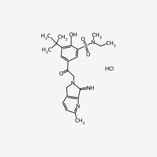 CCN(C)S(=O)(=O)c1cc(C(=O)CN2Cc3ccc(C)nc3C2=N)cc(C(C)(C)C)c1O.Cl